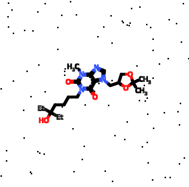 CCC(O)(CC)CCCCn1c(=O)c2c(ncn2CC2COC(C)(C)O2)n(C)c1=O